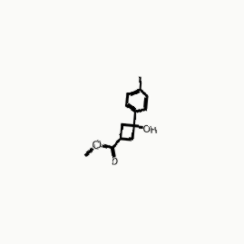 COC(=O)C1CC(O)(c2ccc(C)cc2)C1